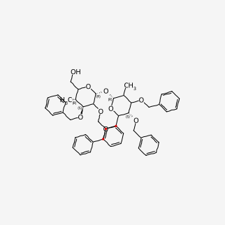 CC1C(OCc2ccccc2)[C@H](OCc2ccccc2)C(COCc2ccccc2)O[C@@H]1O[C@H]1OC(CO)[C@@H](C)[C@H](OCc2ccccc2)C1OCc1ccccc1